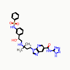 CC(C)(CCn1cnc2cc(C(=O)Nc3nnn[nH]3)cnc21)NC[C@H](O)c1cccc(NS(=O)(=O)c2ccccc2)c1